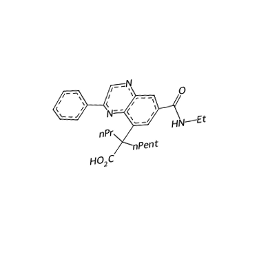 CCCCCC(CCC)(C(=O)O)c1cc(C(=O)NCC)cc2ncc(-c3ccccc3)nc12